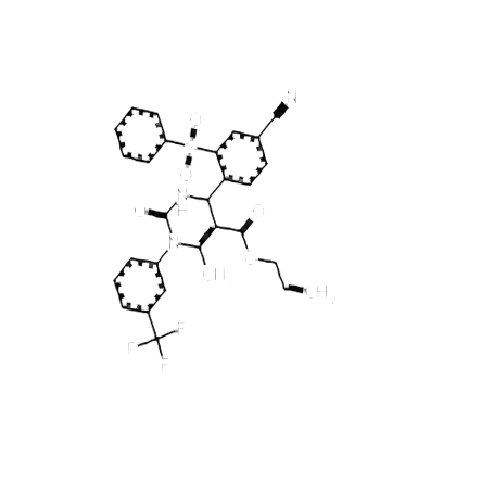 C=CCOC(=O)C1=C(C)N(c2cccc(C(F)(F)F)c2)C(=O)NC1c1ccc(C#N)cc1S(=O)(=O)c1ccccc1